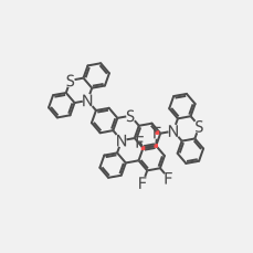 Fc1cc(F)c(F)c(-c2ccccc2N2c3ccc(N4c5ccccc5Sc5ccccc54)cc3Sc3cc(N4c5ccccc5Sc5ccccc54)ccc32)c1F